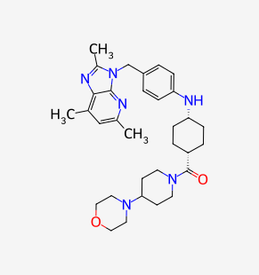 Cc1cc(C)c2nc(C)n(Cc3ccc(N[C@H]4CC[C@@H](C(=O)N5CCC(N6CCOCC6)CC5)CC4)cc3)c2n1